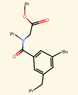 CC(C)Cc1cc(C(=O)N(CC(=O)OC(C)C)C(C)C)cc(C(C)(C)C)c1